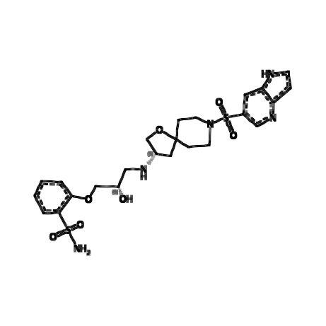 NS(=O)(=O)c1ccccc1OC[C@@H](O)CN[C@@H]1COC2(CCN(S(=O)(=O)c3cnc4cc[nH]c4c3)CC2)C1